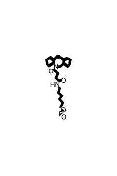 O=POCCCCCCNC(=O)CCC(=O)N1Cc2ccccc2C#Cc2ccccc21